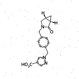 O=C(O)c1cnn(Cc2ccc(CN3C[C@@H]4C[C@@H]4C3=O)cc2)c1